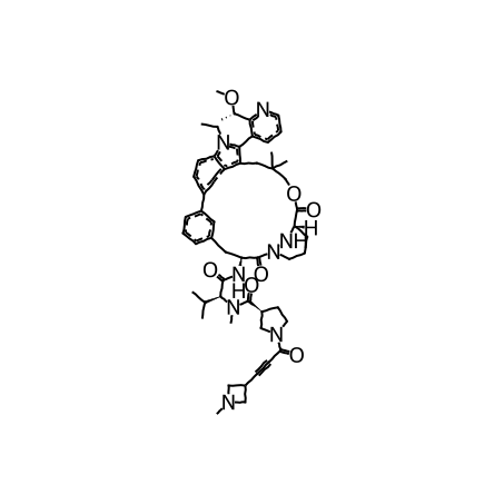 CCn1c(-c2cccnc2[C@H](C)OC)c2c3cc(ccc31)-c1cccc(c1)C[C@H](NC(=O)[C@H](C(C)C)N(C)C(=O)[C@H]1CCN(C(=O)C#CC3CN(C)C3)C1)C(=O)N1CCC[C@H](N1)C(=O)OCC(C)(C)C2